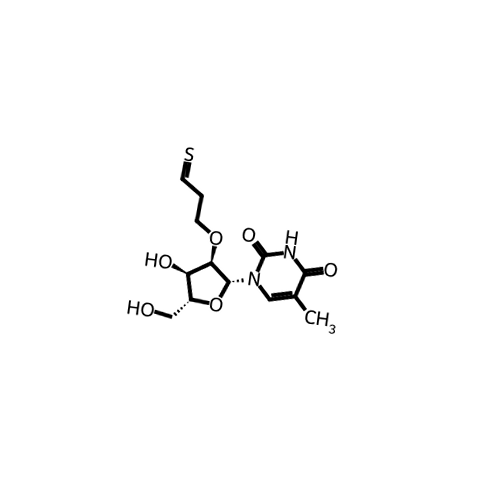 Cc1cn([C@@H]2O[C@H](CO)[C@@H](O)[C@H]2OCCC=S)c(=O)[nH]c1=O